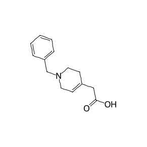 O=C(O)CC1=CCN(Cc2ccccc2)CC1